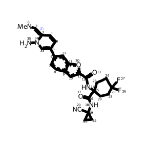 CN/C=C1/C=CC(c2ccc3cc(C(=O)NC4(C(=O)NC5(C#N)CC5)CCC(F)(F)CC4)oc3c2)=CN1N